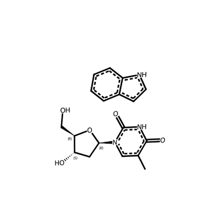 Cc1cn([C@H]2C[C@H](O)[C@@H](CO)O2)c(=O)[nH]c1=O.c1ccc2[nH]ccc2c1